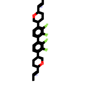 C/C=C/C1CCC(c2ccc(-c3ccc(C4CCC(/C=C/C)OC4)c(F)c3F)c(F)c2F)CO1